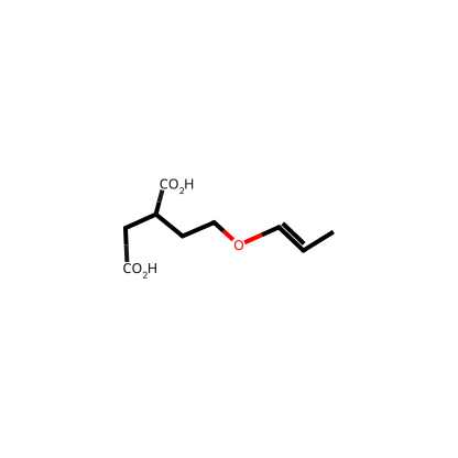 CC=COCCC(CC(=O)O)C(=O)O